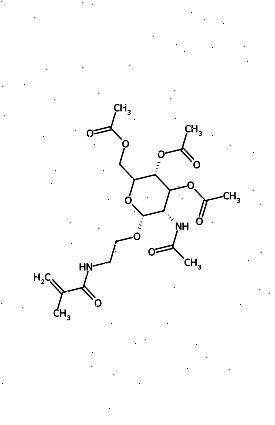 C=C(C)C(=O)NCCO[C@@H]1OC(COC(C)=O)[C@H](OC(C)=O)C(OC(C)=O)[C@@H]1NC(C)=O